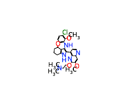 COc1cc2nccc(-c3[nH]c4c(c3Nc3cccc(Cl)c3OC)C(=O)CCC4)c2nc1OCCN(C)C